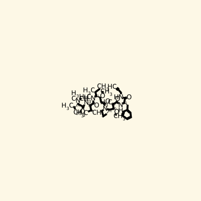 C#CCNC(=O)[C@H](Cc1ccccc1)NC(=O)[C@H](C)[C@@H](OC)[C@@H]1CCCN1C(=O)CC(OC)[C@H](C(C)CC)N(C)C(=O)[C@@H](NC(=O)[C@H](C(C)C)N(C)C)C(C)C